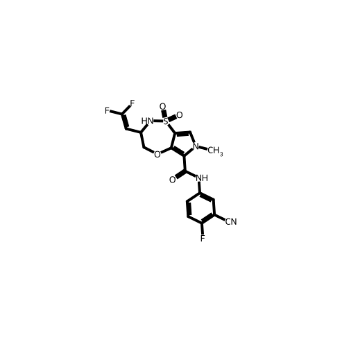 Cn1cc2c(c1C(=O)Nc1ccc(F)c(C#N)c1)OCC(C=C(F)F)NS2(=O)=O